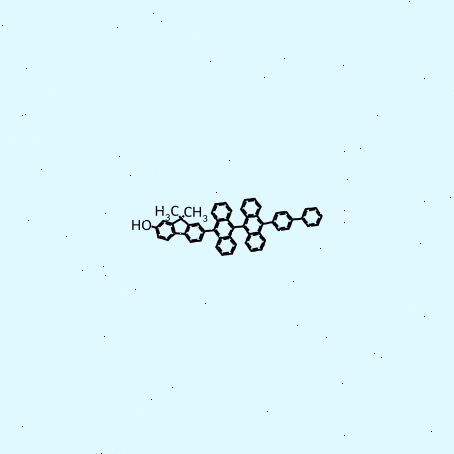 CC1(C)c2cc(O)ccc2-c2ccc(-c3c4ccccc4c(-c4c5ccccc5c(-c5ccc(-c6ccccc6)cc5)c5ccccc45)c4ccccc34)cc21